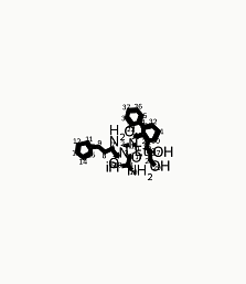 CCN(CN(C(=O)C(N)CCc1ccccc1)C(=O)C(N)C(C)C)C(=O)c1c(C[C@H](O)CO)cccc1-c1ccccc1